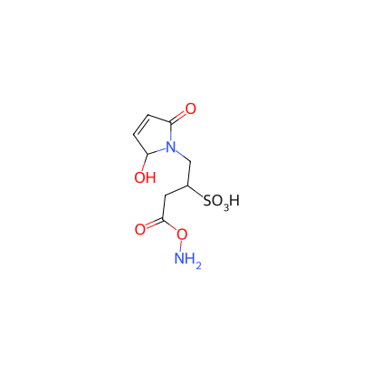 NOC(=O)CC(CN1C(=O)C=CC1O)S(=O)(=O)O